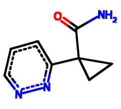 NC(=O)C1(c2cccnn2)CC1